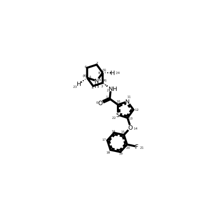 O=C(N[C@@H]1C[C@H]2CC[C@@H]1N2)c1ncc(Oc2ccccc2F)s1